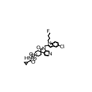 O=C(NS(=O)(=O)N1CCC2(CC1)C(=O)N(Cc1cc3cc(Cl)ccc3n1CCCCF)c1cnccc12)C1CC1